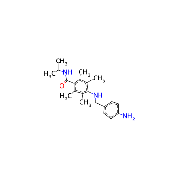 Cc1c(C)c(C(=O)NC(C)C)c(C)c(C)c1NCc1ccc(N)cc1